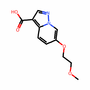 COCCOc1ccc2c(C(=O)O)cnn2c1